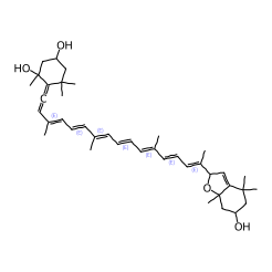 C\C(C=C=C1C(C)(C)CC(O)CC1(C)O)=C/C=C/C(C)=C/C=C/C=C(C)/C=C/C=C(\C)C1C=C2C(C)(C)CC(O)CC2(C)O1